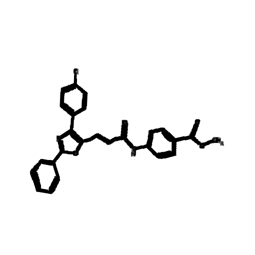 COC(=O)c1ccc(NC(=O)CCc2oc(-c3ccccc3)nc2-c2ccc(Cl)cc2)cc1